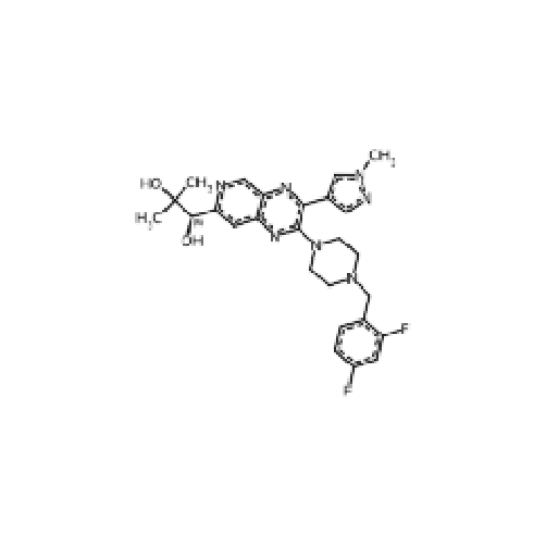 Cn1cc(-c2nc3cnc([C@@H](O)C(C)(C)O)cc3nc2N2CCN(Cc3ccc(F)cc3F)CC2)cn1